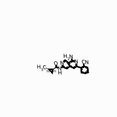 C[C@H]1C[C@@H]1C(=O)Nc1cc2cc(-c3ccccc3C#N)nc(N)c2cn1